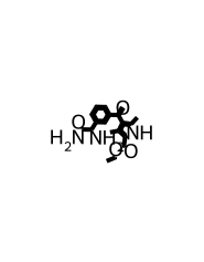 CCOC(=O)c1[nH]c(C)c(C(=O)c2cccc(C(N)C(N)=O)c2)c1C